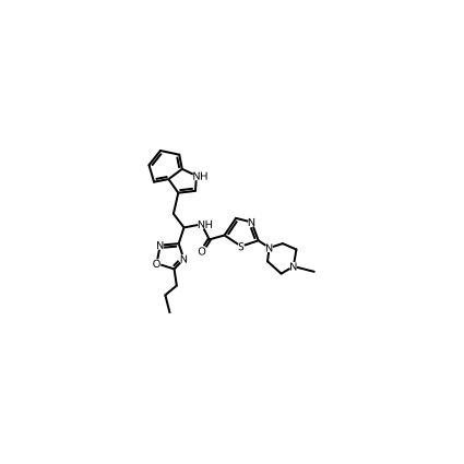 CCCc1nc(C(Cc2c[nH]c3ccccc23)NC(=O)c2cnc(N3CCN(C)CC3)s2)no1